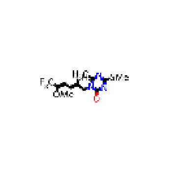 CO/C(=C\C=C(/C)Cn1c(C)nc(SC)nc1=O)C(F)(F)F